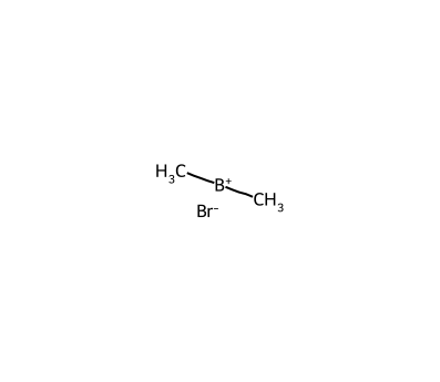 C[B+]C.[Br-]